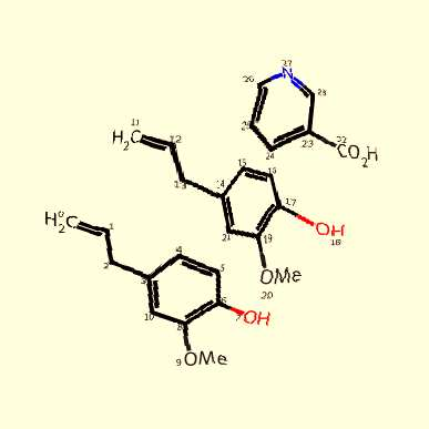 C=CCc1ccc(O)c(OC)c1.C=CCc1ccc(O)c(OC)c1.O=C(O)c1cccnc1